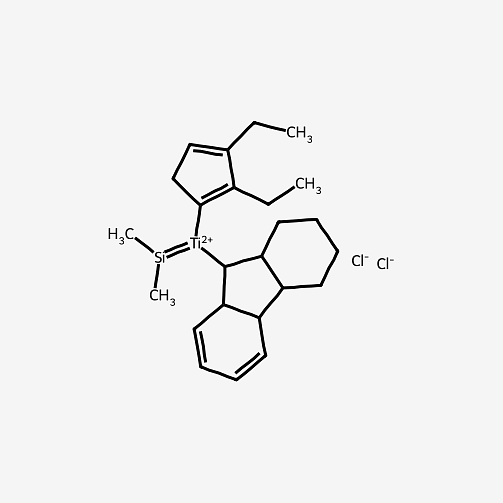 CCC1=CC[C]([Ti+2]([CH]2C3C=CC=CC3C3CCCCC32)=[Si](C)C)=C1CC.[Cl-].[Cl-]